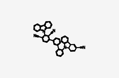 N#CC1=CC2c3ccccc3N(c3ccccc3-c3cccc(-c4ccc(C#N)c(-n5c6ccccc6c6ccccc65)c4C#N)c3)C2C=C1